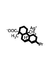 CC(C)C1=CC2=CCC3[C@](C)(C(=O)[O-])CCC[C@]3(C)[C@H]2CC1.[Ag+]